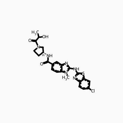 CC(O)C(=O)N1CC[C@@H](NC(=O)c2ccc3c(c2)nc(Nc2nc4ccc(Cl)cc4s2)n3C)C1